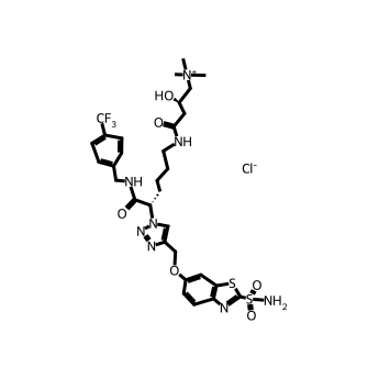 C[N+](C)(C)C[C@H](O)CC(=O)NCCCC[C@@H](C(=O)NCc1ccc(C(F)(F)F)cc1)n1cc(COc2ccc3nc(S(N)(=O)=O)sc3c2)nn1.[Cl-]